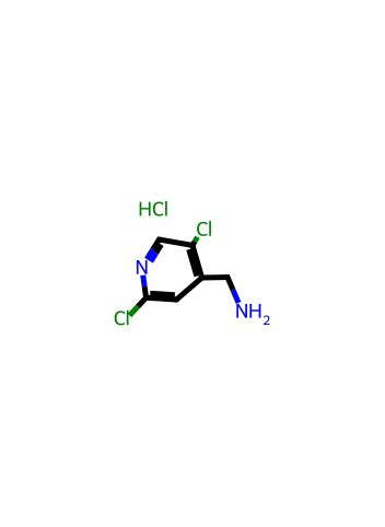 Cl.NCc1cc(Cl)ncc1Cl